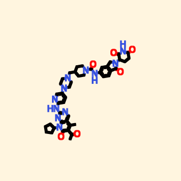 CC(=O)c1c(C)c2cnc(Nc3ccc(N4CCN(CC5CCN(C(=O)Nc6ccc7c(c6)CN(C6CCC(=O)NC6=O)C7=O)CC5)CC4)cn3)nc2n(C2CCCC2)c1=O